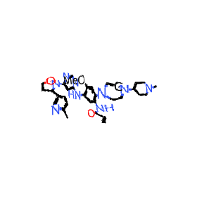 C=CC(=O)Nc1cc(Nc2cc(N3OCCC3c3ccc(C)nc3)ncn2)c(OC)cc1N1CCN(C2CCN(C)CC2)CC1